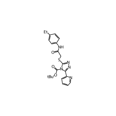 CCc1ccc(NC(=O)CSc2nnc(-c3ccccn3)n2C(=O)OC(C)(C)C)cc1